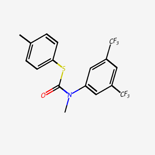 Cc1ccc(SC(=O)N(C)c2cc(C(F)(F)F)cc(C(F)(F)F)c2)cc1